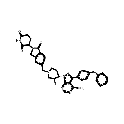 Nc1ncnc2c1c(-c1ccc(Oc3ccccc3)cc1)nn2[C@H]1CCN(Cc2ccc3c(c2)CN(C2CCC(=O)NC2=O)C3=O)C[C@@H]1F